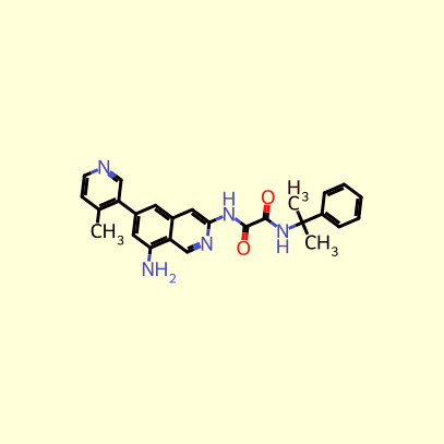 Cc1ccncc1-c1cc(N)c2cnc(NC(=O)C(=O)NC(C)(C)c3ccccc3)cc2c1